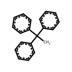 [CH2]C(c1ccccc1)(c1ccccc1)c1ccccc1